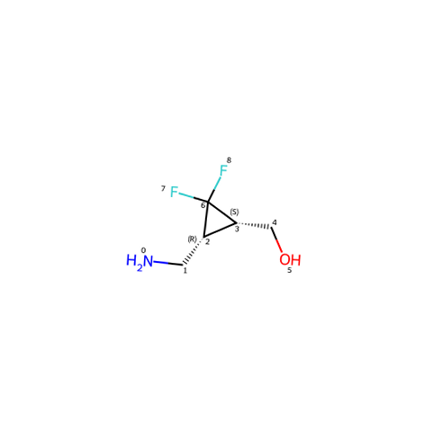 NC[C@H]1[C@@H](CO)C1(F)F